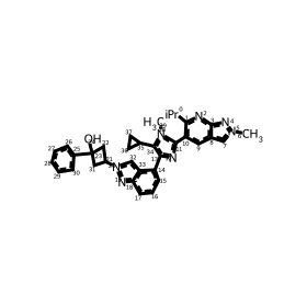 CC(C)c1nc2nn(C)cc2cc1-c1nc(-c2cccc3nn(C4CC(O)(c5ccccc5)C4)cc23)c(C2CC2)n1C